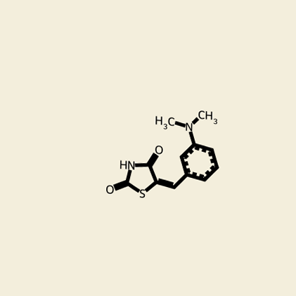 CN(C)c1cccc(C=C2SC(=O)NC2=O)c1